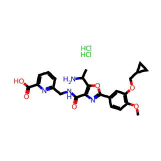 COc1ccc(-c2nc(C(=O)NCc3cccc(C(=O)O)n3)c(C(C)N)o2)cc1OCC1CC1.Cl.Cl